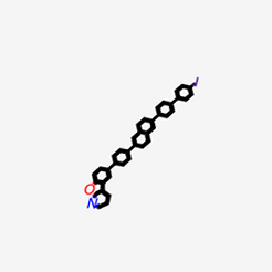 Ic1ccc(-c2ccc(-c3ccc4cc(-c5ccc(-c6ccc7oc8ncccc8c7c6)cc5)ccc4c3)cc2)cc1